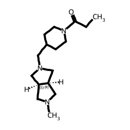 CCC(=O)N1CCC(CN2C[C@H]3CN(C)C[C@H]3C2)CC1